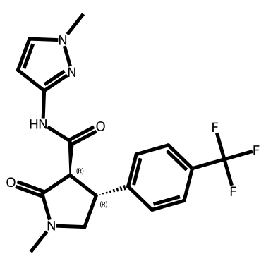 CN1C[C@@H](c2ccc(C(F)(F)F)cc2)[C@H](C(=O)Nc2ccn(C)n2)C1=O